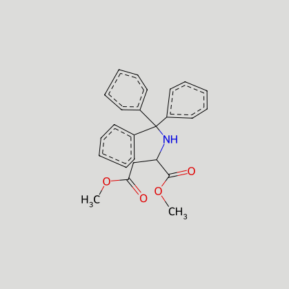 COC(=O)CC(NC(c1ccccc1)(c1ccccc1)c1ccccc1)C(=O)OC